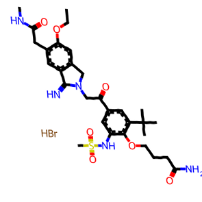 Br.CCOc1cc2c(cc1CC(=O)NC)C(=N)N(CC(=O)c1cc(NS(C)(=O)=O)c(OCCCC(N)=O)c(C(C)(C)C)c1)C2